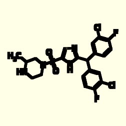 CC1CN(S(=O)(=O)c2cnc(C(c3ccc(F)c(Cl)c3)c3ccc(F)c(Cl)c3)[nH]2)CCN1